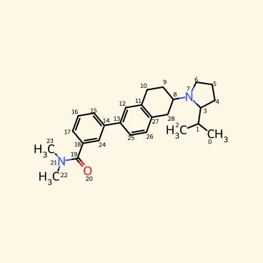 CC(C)C1CCCN1C1CCc2cc(-c3cccc(C(=O)N(C)C)c3)ccc2C1